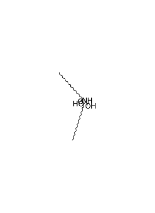 CCCCCCCC/C=C/CCCCCCCC(=O)N[C@@H](CO)[C@H](O)/C=C/CCCCCCCCCCCCCCCC